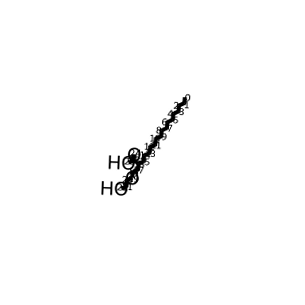 CCCCCCCCCCCCCCCCC(CCOCCO)C(=O)O